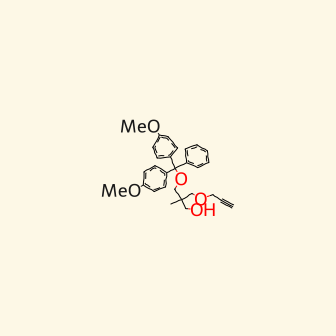 C#CCOCC(C)(CO)COC(c1ccccc1)(c1ccc(OC)cc1)c1ccc(OC)cc1